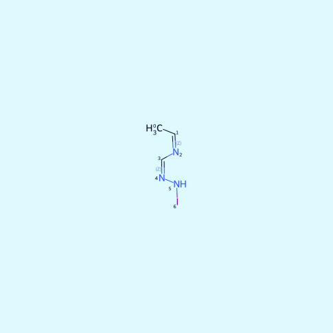 C/C=N\C=N/NI